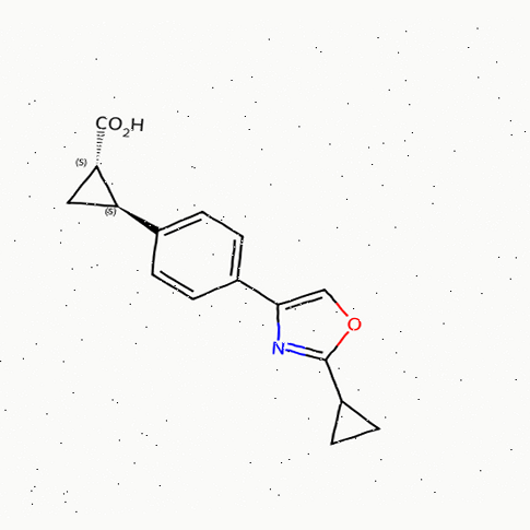 O=C(O)[C@H]1C[C@@H]1c1ccc(-c2coc(C3CC3)n2)cc1